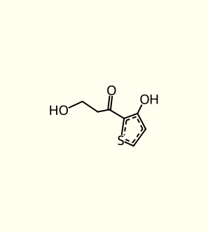 O=C(CCO)c1sccc1O